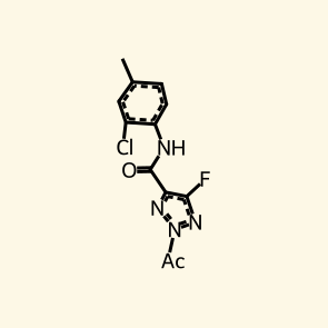 CC(=O)n1nc(F)c(C(=O)Nc2ccc(C)cc2Cl)n1